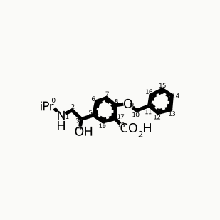 CC(C)NCC(O)c1ccc(OCc2ccccc2)c(C(=O)O)c1